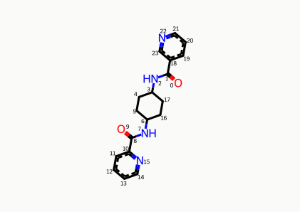 O=C(NC1CCC(NC(=O)c2ccccn2)CC1)c1cccnc1